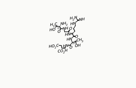 C[C@@H](O)[C@H](N)C(=O)NCC(=O)N[C@@H](CCCNC(=N)N)C(=O)N[C@H](C(=O)N[C@@H](CCC(=O)O)C(=O)O)[C@@H](C)O